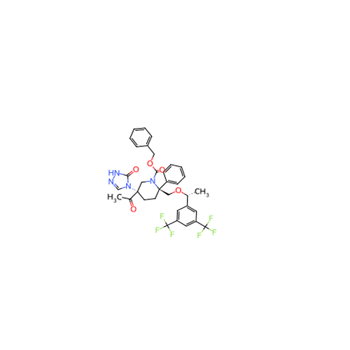 CC(=O)[C@]1(n2cn[nH]c2=O)CC[C@@](CO[C@H](C)c2cc(C(F)(F)F)cc(C(F)(F)F)c2)(c2ccccc2)N(C(=O)OCc2ccccc2)C1